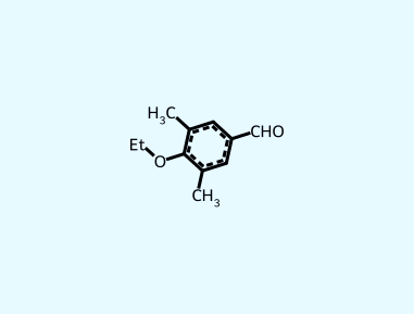 CCOc1c(C)cc(C=O)cc1C